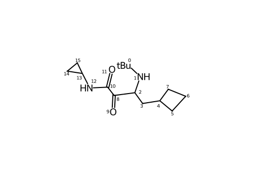 CC(C)(C)NC(CC1CCC1)C(=O)C(=O)NC1CC1